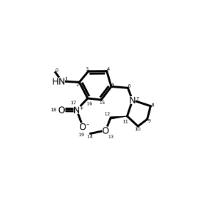 CNc1ccc(CN2CCC[C@H]2COC)cc1[N+](=O)[O-]